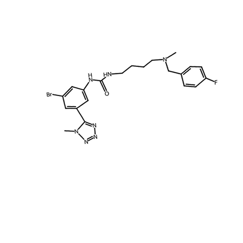 CN(CCCCNC(=O)Nc1cc(Br)cc(-c2nnnn2C)c1)Cc1ccc(F)cc1